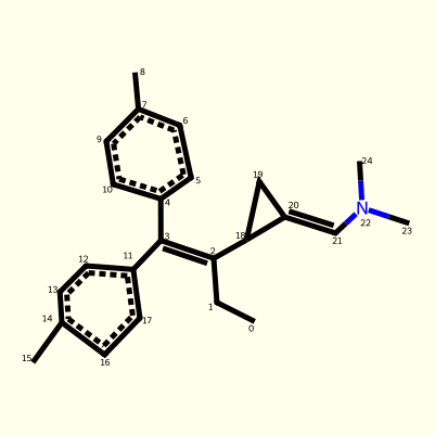 CCC(=C(c1ccc(C)cc1)c1ccc(C)cc1)C1C/C1=C\N(C)C